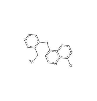 CCc1ccccc1Oc1ccnc2c(Cl)cccc12